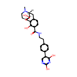 CN1CC[C@]23CCCC[C@@]2(O)[C@H]1Cc1ccc(C(=O)NCCc2ccc(-c4cnc(O)nc4O)cc2)c(O)c13